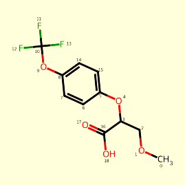 COCC(Oc1ccc(OC(F)(F)F)cc1)C(=O)O